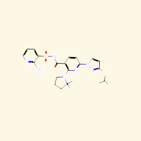 CC(C)Oc1ccn(-c2ccc(C(=O)NS(=O)(=O)c3cccnc3N)c(N3C[C@@H](C)CC3(C)C)n2)n1